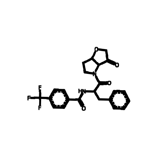 O=C(NC(Cc1ccccc1)C(=O)N1CCC2OCC(=O)C21)c1ccc(C(F)(F)F)cc1